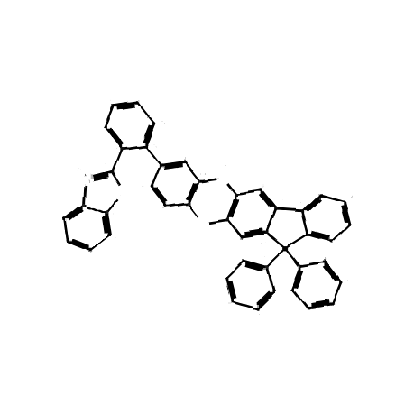 c1ccc(C2(c3ccccc3)c3ccccc3-c3cc4c(cc32)Oc2ccc(-c3ccccc3-c3nc5ccccc5o3)cc2O4)cc1